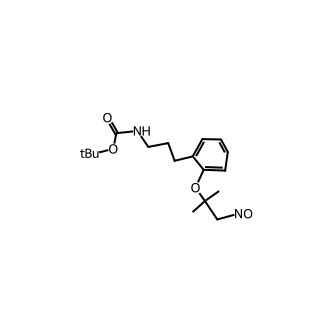 CC(C)(C)OC(=O)NCCCc1ccccc1OC(C)(C)CN=O